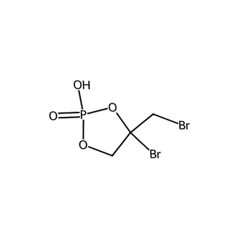 O=P1(O)OCC(Br)(CBr)O1